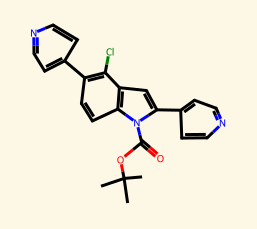 CC(C)(C)OC(=O)n1c(-c2ccncc2)cc2c(Cl)c(-c3ccncc3)ccc21